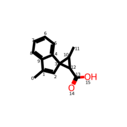 CC1=CC2(c3ccccc31)C(C)C2C(=O)O